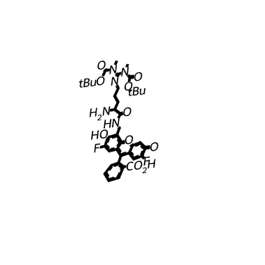 CN(C(=O)OC(C)(C)C)C(=NCCCC(N)C(=O)NCc1c(O)c(F)cc2c(-c3ccccc3C(=O)O)c3cc(F)c(=O)cc-3oc12)N(C)C(=O)OC(C)(C)C